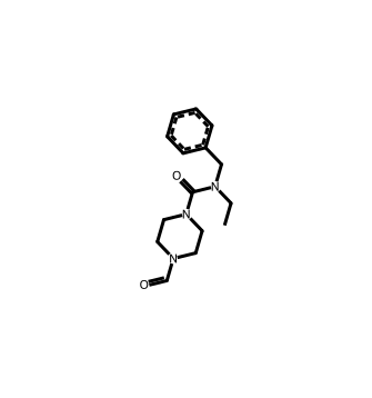 CCN(Cc1ccccc1)C(=O)N1CCN(C=O)CC1